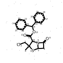 CC1(CCl)SC2CC(=O)N2C1C(=O)OC(c1ccccc1)c1ccccc1